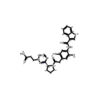 C=N/C(=N\N(N)CCC(=O)O)[C@@H]1CCCN1C(=O)Cc1cc(Cl)c(NC(=O)c2csc3ccccc23)cc1F